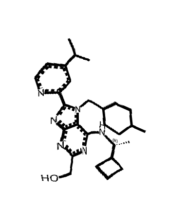 CC1CCC(Cn2c(-c3cc(C(C)C)ccn3)nc3nc(CO)nc(N[C@H](C)C4CCC4)c32)CC1